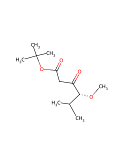 CO[C@@H](C(=O)CC(=O)OC(C)(C)C)C(C)C